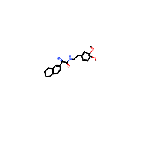 COc1ccc(CCNC(=O)C(=N)c2ccc3c(c2)CCCC3)cc1OC